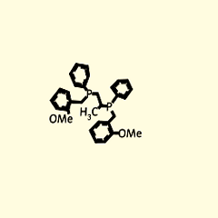 COc1ccccc1CP(CC(C)P(Cc1ccccc1OC)c1ccccc1)c1ccccc1